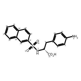 Nc1ccc(C[C@@H](NS(=O)(=O)c2ccc3ccccc3c2)C(=O)O)cc1